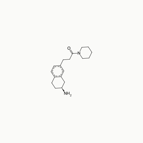 N[C@H]1CCc2ccc(CCC(=O)N3CCCCC3)cc2C1